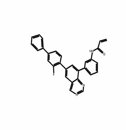 C=CC(=O)Nc1cccc(-c2cc(-c3ccc(-c4ccccc4)cc3F)cc3cncnc23)c1